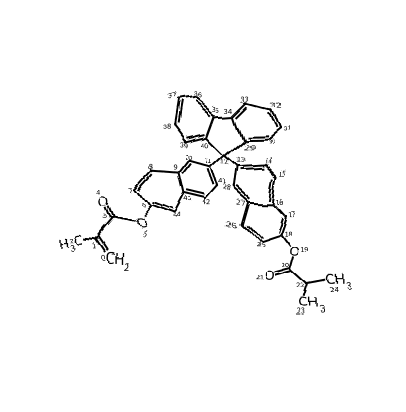 C=C(C)C(=O)Oc1ccc2cc(C3(c4ccc5cc(OC(=O)C(C)C)ccc5c4)c4ccccc4-c4ccccc43)ccc2c1